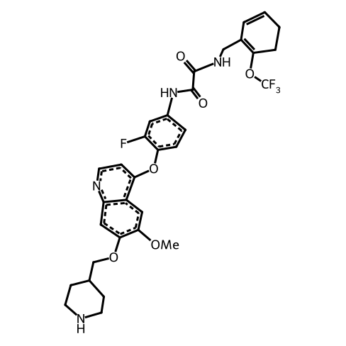 COc1cc2c(Oc3ccc(NC(=O)C(=O)NCC4=C(OC(F)(F)F)CCC=C4)cc3F)ccnc2cc1OCC1CCNCC1